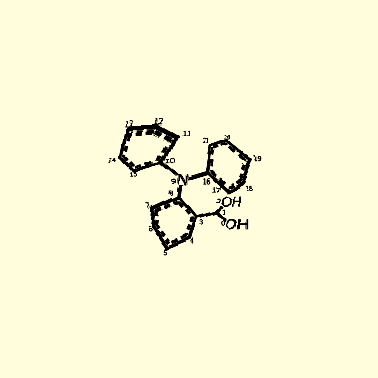 OC(O)c1ccccc1N(c1ccccc1)c1ccccc1